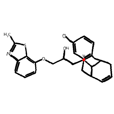 Cc1nc2cccc(OCC(O)CNC3C4C=CCC3c3ccc(Cl)cc3C4)c2s1